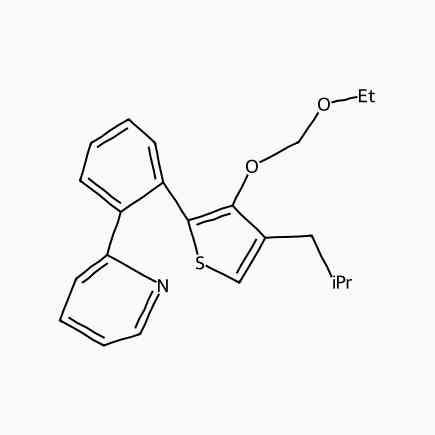 CCOCOc1c(CC(C)C)csc1-c1ccccc1-c1ccccn1